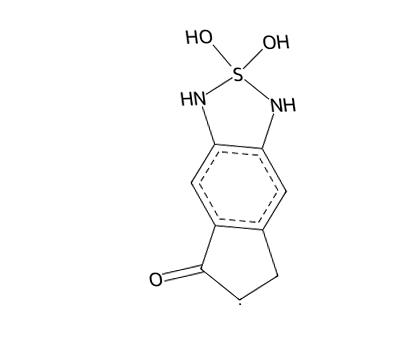 O=C1[CH]Cc2cc3c(cc21)NS(O)(O)N3